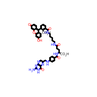 Nc1nc2ncc(CNc3ccc(C(=O)NC(CCC(=O)NCCCCCNC(=O)c4cccc(-c5c6ccc(=O)cc-6oc6cc(O)ccc56)c4C(=O)O)C(=O)O)cc3)nc2c(=O)[nH]1